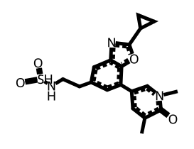 Cc1cc(-c2cc(CCN[SH](=O)=O)cc3nc(C4CC4)oc23)cn(C)c1=O